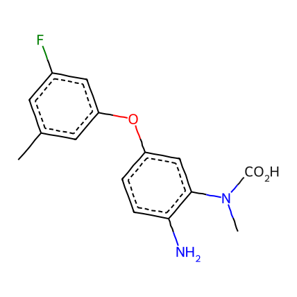 Cc1cc(F)cc(Oc2ccc(N)c(N(C)C(=O)O)c2)c1